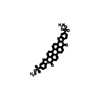 NOS(=O)(=O)c1ccc2c(c1)nc1c3ccc4c5ccc6c7c(ccc(c8ccc(c(=O)n21)c3c84)c57)c(=O)n1c2ccc(S(=O)(=O)ON)cc2nc61